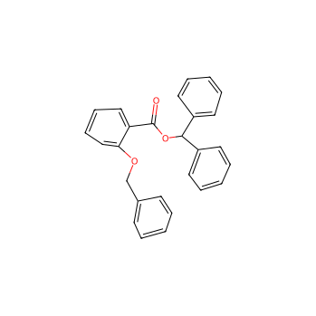 O=C(OC(c1ccccc1)c1ccccc1)c1ccccc1OCc1ccccc1